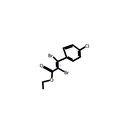 CCOC(=O)/C(Br)=C(\Br)c1ccc(Cl)cc1